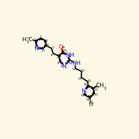 Cc1ccc(CCc2cnc(NCCCCc3ncc(Br)cc3C)[nH]c2=O)cn1